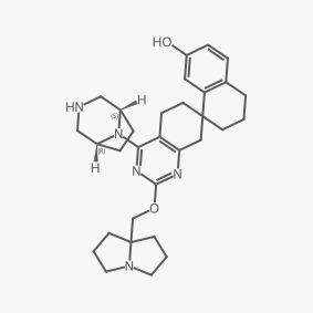 Oc1ccc2c(c1)C1(CCC2)CCc2c(nc(OCC34CCCN3CCC4)nc2N2[C@@H]3CC[C@H]2CNC3)C1